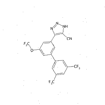 N#Cc1[nH]nnc1-c1cc(OC(F)(F)F)cc(-c2cc(C(F)(F)F)cc(C(F)(F)F)c2)c1